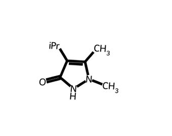 Cc1c(C(C)C)c(=O)[nH]n1C